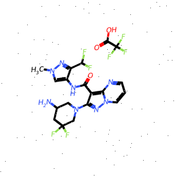 Cn1cc(NC(=O)c2c(N3CC(N)CC(F)(F)C3)nn3cccnc23)c(C(F)F)n1.O=C(O)C(F)(F)F